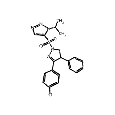 CC(C)n1nncc1S(=O)(=O)N1CC(c2ccccc2)C(c2ccc(Cl)cc2)=N1